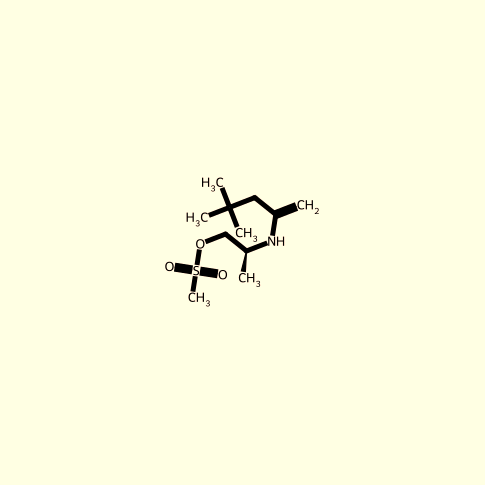 C=C(CC(C)(C)C)N[C@@H](C)COS(C)(=O)=O